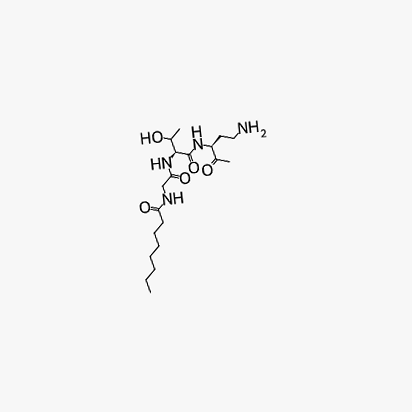 CCCCCCCC(=O)NCC(=O)N[C@H](C(=O)N[C@@H](CCN)C(C)=O)C(C)O